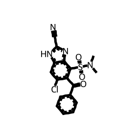 CN(C)S(=O)(=O)c1c(C(=O)c2ccccc2)c(Cl)cc2[nH]c(C#N)nc12